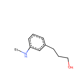 CCNc1cccc(CCCO)c1